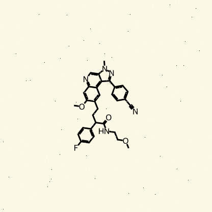 COCCNC(=O)C(CCc1cc2c(cc1OC)ncc1c2c(-c2ccc(C#N)cc2)nn1C)c1ccc(F)cc1